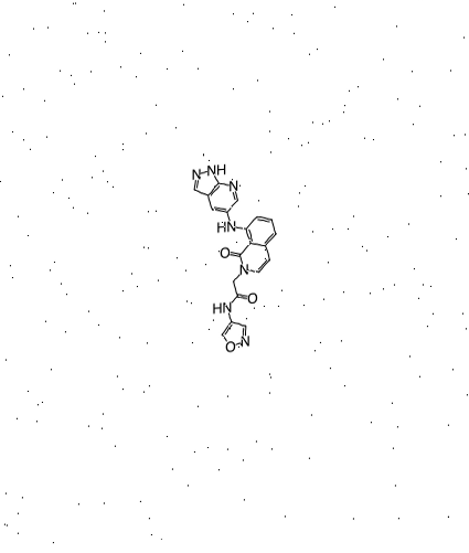 O=C(Cn1ccc2cccc(Nc3cnc4[nH]ncc4c3)c2c1=O)Nc1cnoc1